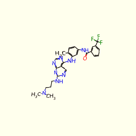 Cc1ccc(NC(=O)c2cccc(C(F)(F)F)c2)cc1Nc1ncnc2nc(NCCCN(C)C)ncc12